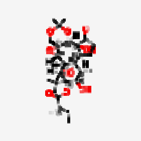 CC[C@H](C)C(=O)O[C@@]12[C@H](O)[C@@H](C)[C@@]3(O)[C@H]([C@@H]1C2(C)C)[C@@H]1O[C@@]12COC(C)(C)O[C@H]2[C@]1(O)C(=O)C=C[C@H]13